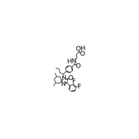 CCCC(c1ccc(C(=O)NCCC(=O)O)cc1)N1C(=O)C(c2cccc(F)c2F)=NC12CC(C)CC(C)C2